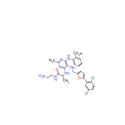 Cc1nc(Nc2ccccc2C(=O)O)c(NCc2ccc(-c3cc(Cl)ccc3Cl)o2)c(NC(C)C(=O)NCCN)n1